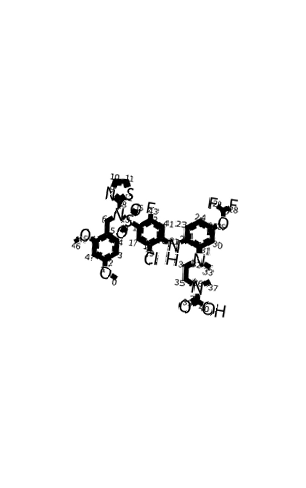 COc1ccc(CN(c2nccs2)S(=O)(=O)c2cc(Cl)c(Nc3ccc(OC(F)F)cc3N(C)CCN(C)C(=O)O)cc2F)c(OC)c1